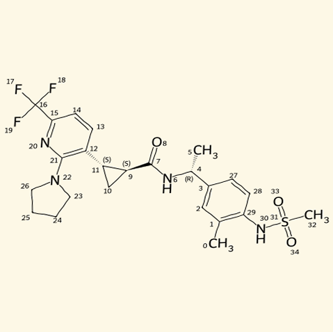 Cc1cc([C@@H](C)NC(=O)[C@H]2C[C@@H]2c2ccc(C(F)(F)F)nc2N2CCCC2)ccc1NS(C)(=O)=O